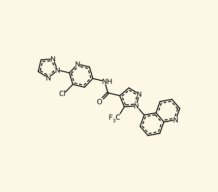 O=C(Nc1cnc(-n2nccn2)c(Cl)c1)c1cnn(-c2cccc3ncccc23)c1C(F)(F)F